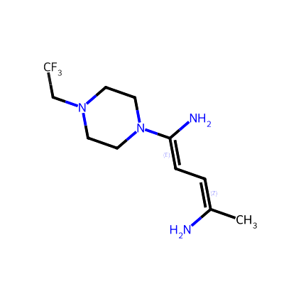 C/C(N)=C/C=C(\N)N1CCN(CC(F)(F)F)CC1